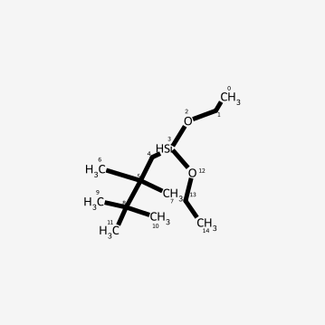 CCO[SiH](CC(C)(C)C(C)(C)C)OCC